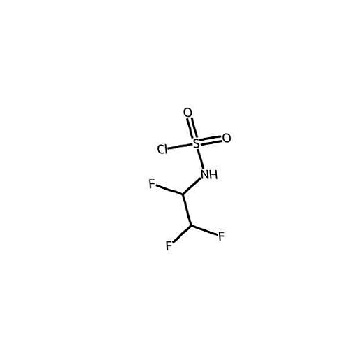 O=S(=O)(Cl)NC(F)C(F)F